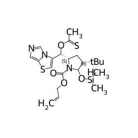 C=CCOC(=O)N1C(O[SiH](C)C)[C@@H](C(C)(C)C)C[C@H]1C(OC(C)=S)c1csc2cncn12